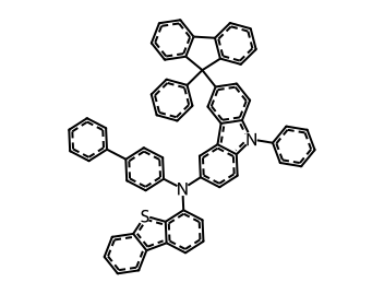 c1ccc(-c2ccc(N(c3ccc4c(c3)c3cc(C5(c6ccccc6)c6ccccc6-c6ccccc65)ccc3n4-c3ccccc3)c3cccc4c3sc3ccccc34)cc2)cc1